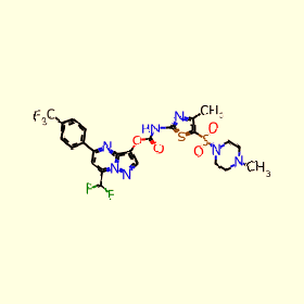 Cc1nc(NC(=O)Oc2cnn3c(C(F)F)cc(-c4ccc(C(F)(F)F)cc4)nc23)sc1S(=O)(=O)N1CCN(C)CC1